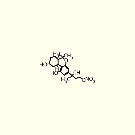 CC(C)(CCO[N+](=O)[O-])c1cc(O)c2c(c1)OC(C)(C)[C@@H]1CC[C@@H](O)C[C@@H]21